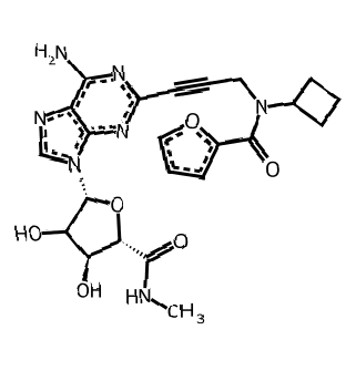 CNC(=O)[C@H]1O[C@@H](n2cnc3c(N)nc(C#CCN(C(=O)c4ccco4)C4CCC4)nc32)C(O)[C@@H]1O